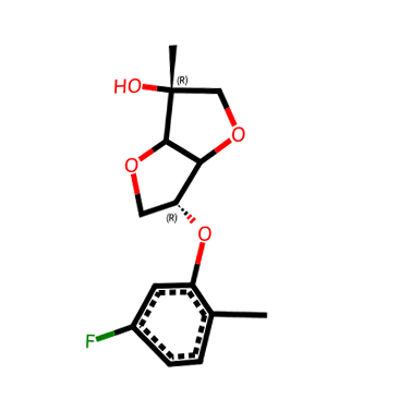 Cc1ccc(F)cc1O[C@@H]1COC2C1OC[C@@]2(C)O